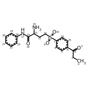 CCC(=O)c1ccc(S(=O)(=O)CCC(N)C(=O)Nc2ccccc2)cc1